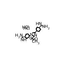 CS(=O)(=O)c1nc(-c2ccc(C(=N)N)cc2)cn1-c1ccc(C(=N)N)cc1.Cl.Cl